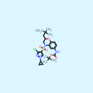 CC(C)(CC1CN(S(=O)(=O)c2cn(C3CC3)nc2Cl)c2cc(NC(=O)OC(C)(C)C(F)(F)F)ccc2O1)C(=O)O